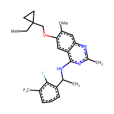 CNCC1(COc2cc3c(NC(C)c4cccc(C(F)(F)F)c4F)nc(C)nc3cc2OC)CC1